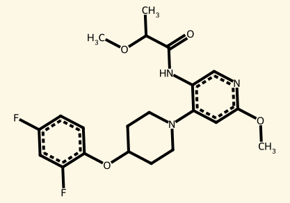 COc1cc(N2CCC(Oc3ccc(F)cc3F)CC2)c(NC(=O)C(C)OC)cn1